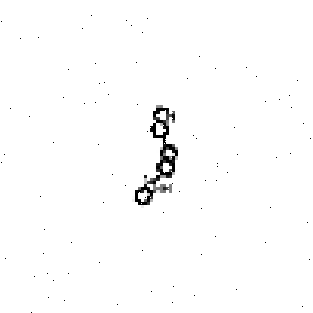 c1cnc2cc(-c3ccc4ccc(-c5nc6ccccc6[nH]5)cc4c3)ccc2c1